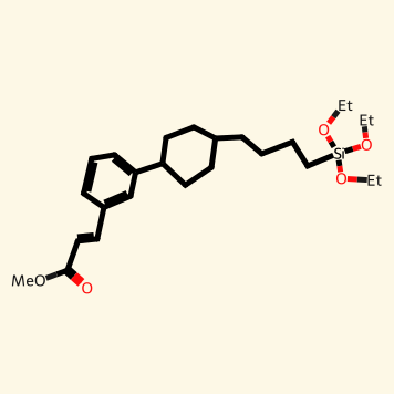 CCO[Si](CCCCC1CCC(c2cccc(C=CC(=O)OC)c2)CC1)(OCC)OCC